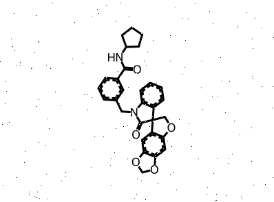 O=C(NC1CCCC1)c1cccc(CN2C(=O)C3(COc4cc5c(cc43)OCO5)c3ccccc32)c1